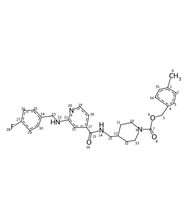 Cc1ccc(COC(=O)N2CCC(CNC(=O)c3ccnc(NCc4ccc(F)cc4)c3)CC2)cc1